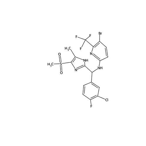 Cc1[nH]c(C(Nc2ccc(Br)c(C(F)(F)F)n2)c2ccc(F)c(Cl)c2)nc1S(C)(=O)=O